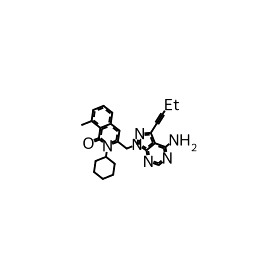 CCC#Cc1nn(Cc2cc3cccc(C)c3c(=O)n2C2CCCCC2)c2ncnc(N)c12